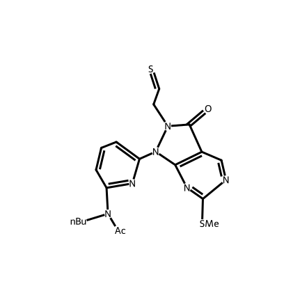 CCCCN(C(C)=O)c1cccc(-n2c3nc(SC)ncc3c(=O)n2CC=S)n1